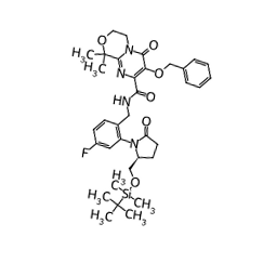 CC1(C)OCCn2c1nc(C(=O)NCc1ccc(F)cc1N1C(=O)CC[C@H]1CO[Si](C)(C)C(C)(C)C)c(OCc1ccccc1)c2=O